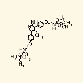 CCc1c(-c2ccc(OCCNC(=O)OC(C)(C)C)cc2)cnc(N)c1-c1ccc(OCCNC(=O)OC(C)(C)C)cc1